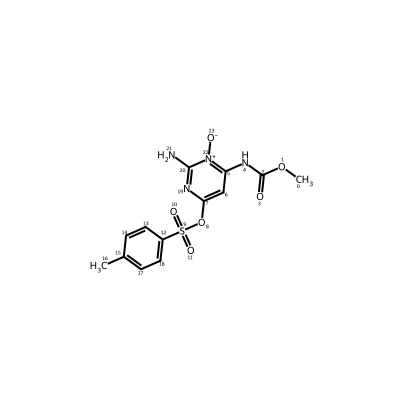 COC(=O)Nc1cc(OS(=O)(=O)c2ccc(C)cc2)nc(N)[n+]1[O-]